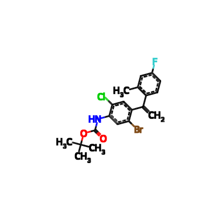 C=C(c1ccc(F)cc1C)c1cc(Cl)c(NC(=O)OC(C)(C)C)cc1Br